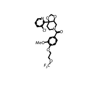 COc1cc(C(=O)N2CCC3(c4ncccc4Cl)OCOC3C2)ccc1OCCOC(F)(F)F